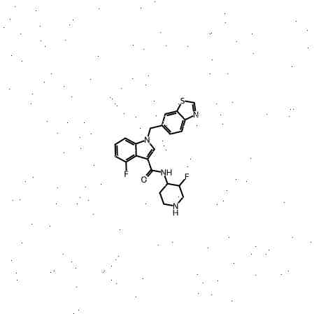 O=C(NC1CCNCC1F)c1cn(Cc2ccc3ncsc3c2)c2cccc(F)c12